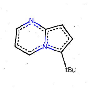 CC(C)(C)c1ccc2ncccn12